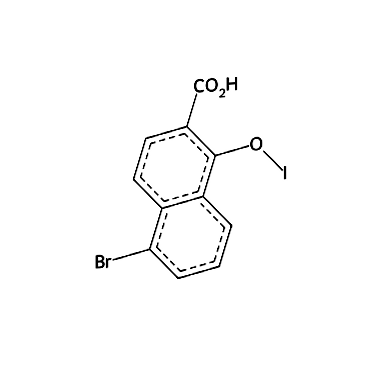 O=C(O)c1ccc2c(Br)cccc2c1OI